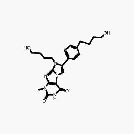 Cn1c(=O)[nH]c(=O)c2c1nc1n(CCCCO)c(-c3ccc(CCCCO)cc3)cn21